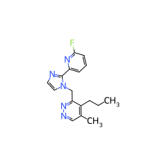 CCCc1c(C)cnnc1Cn1ccnc1-c1cccc(F)n1